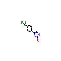 O=C1N=NC(c2ccc(C(F)(F)F)cc2)=N1